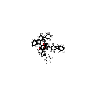 c1ccc(-c2nc3cccc(-c4nc(-c5ccc6c(c5)sc5ccccc56)nc(-n5c6ccccc6c6ccc7c8ccccc8n(-c8ccccc8)c7c65)n4)c3o2)cc1